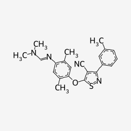 Cc1cccc(-c2nsc(Oc3cc(C)c(N=CN(C)C)cc3C)c2C#N)c1